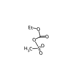 CCOC(=O)OS(C)(=O)=O